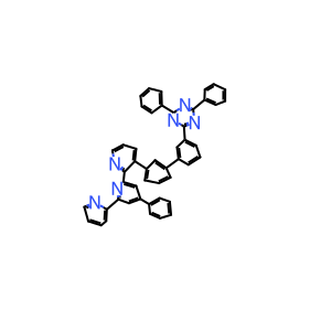 c1ccc(-c2cc(-c3ccccn3)nc(-c3ncccc3-c3cccc(-c4cccc(-c5nc(-c6ccccc6)nc(-c6ccccc6)n5)c4)c3)c2)cc1